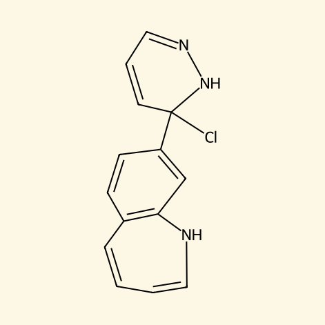 ClC1(c2ccc3c(c2)NC=CC=C3)C=CC=NN1